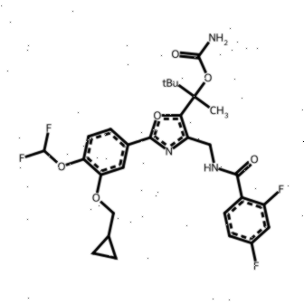 CC(C)(C)C(C)(OC(N)=O)c1oc(-c2ccc(OC(F)F)c(OCC3CC3)c2)nc1CNC(=O)c1ccc(F)cc1F